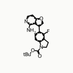 CC(C)(C)OC(=O)N1CCc2c1ccc(-c1coc3ccnc(N)c13)c2F